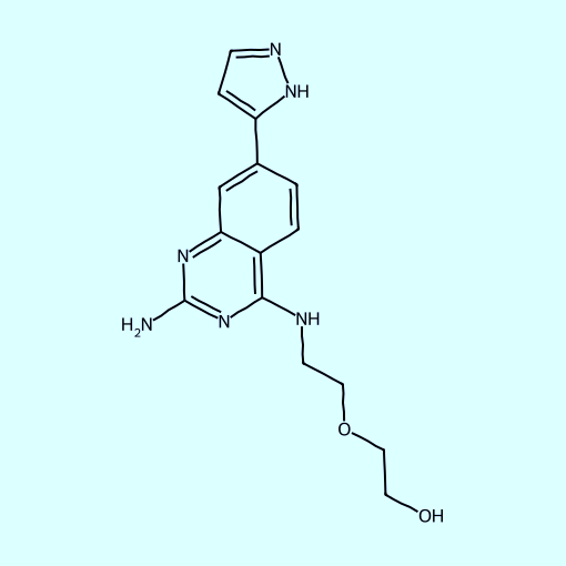 Nc1nc(NCCOCCO)c2ccc(-c3ccn[nH]3)cc2n1